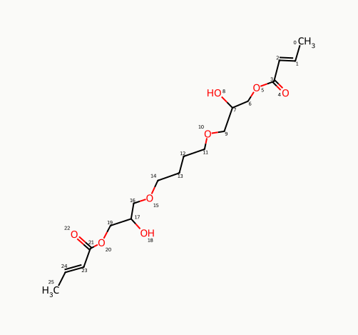 CC=CC(=O)OCC(O)COCCCCOCC(O)COC(=O)C=CC